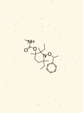 CCC1(C)CCC(C)(OC(=O)NC)C(C)(CC)N1OC(C)c1ccccc1